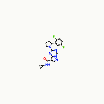 O=C(NC1CC1)c1cnn2cnc(N3CCC[C@@H]3c3cc(F)ccc3F)nc12